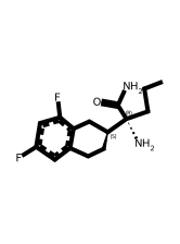 CCC[C@](N)(C(N)=O)[C@H]1CCc2cc(F)cc(F)c2C1